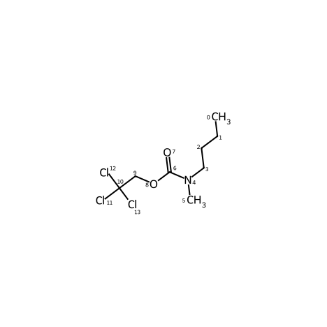 CCCCN(C)C(=O)OCC(Cl)(Cl)Cl